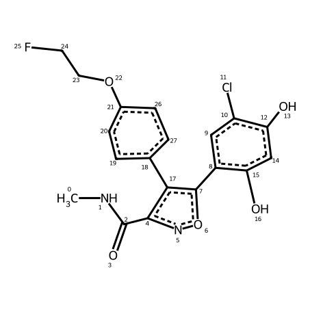 CNC(=O)c1noc(-c2cc(Cl)c(O)cc2O)c1-c1ccc(OCCF)cc1